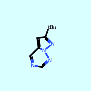 CC(C)(C)c1cc2cncnn2n1